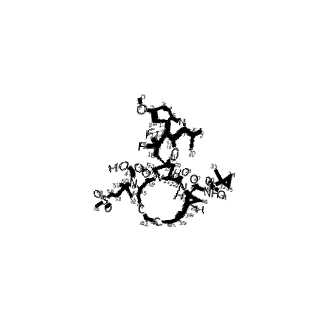 COc1ccc2nc(C(C)C)c3c(c2c1)C(F)(F)C[C@]1(C[C@H]2C(=O)N[C@]4(C(=O)NS(=O)(=O)C5(C)CC5)C[C@H]4/C=C\CCCCC[C@H](N(C(=O)O)C(C)(C)CCS(C)(=O)=O)C(=O)N2C1)O3